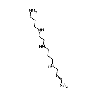 NC=CCNCCCNCCNCCCN